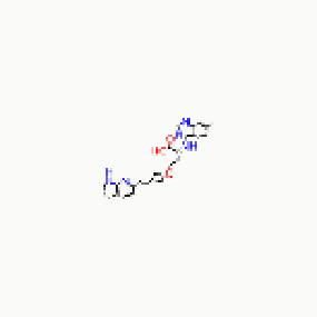 Cc1ccc2c(N[C@@H](CCOC3CC(CCc4ccc5c(n4)NCCC5)C3)C(=O)O)ncnc2c1